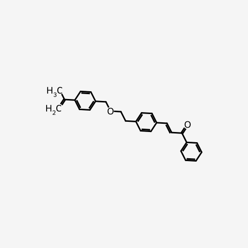 C=C(C)c1ccc(COCCc2ccc(C=CC(=O)c3ccccc3)cc2)cc1